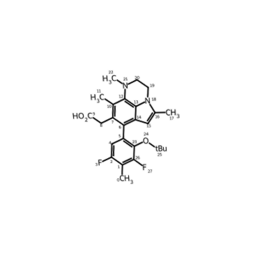 Cc1c(F)cc(-c2c(CC(=O)O)c(C)c3c4c2cc(C)n4CCN3C)c(OC(C)(C)C)c1F